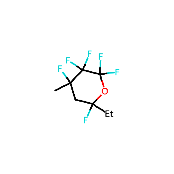 CCC1(F)CC(C)(F)C(F)(F)C(F)(F)O1